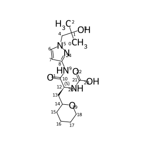 CC(C)(O)Cn1ccc(NC(=O)[C@H](CC2CCCCO2)NC(=O)O)n1